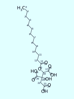 CCCCCCCCCCCCCC(=O)OC(C(=O)O)C(O)(CC(=O)O)C(=O)O